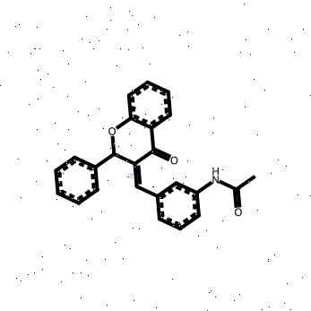 CC(=O)Nc1cccc(/C=C2\C(=O)c3ccccc3OC2c2ccccc2)c1